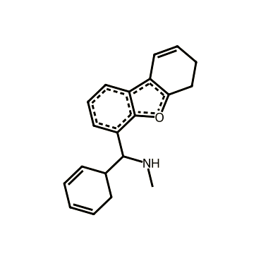 CNC(c1cccc2c3c(oc12)CCC=C3)C1C=CC=CC1